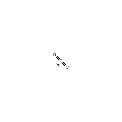 O=C=O.[Pt]